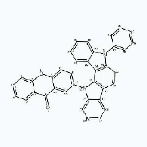 O=c1c2ccccc2oc2ccc(-n3c4cnccc4c4ccc5c(c6ccccc6n5-c5ccccc5)c43)cc12